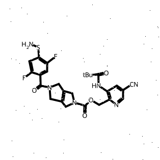 CC(C)(C)C(=O)Nc1cc(C#N)cnc1COC(=O)N1CC2=C(C1)CN(C(=O)c1cc(F)c(SN)cc1F)C2